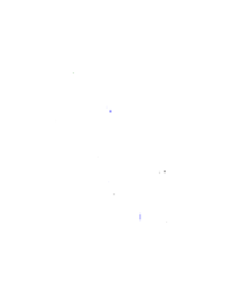 C/N=C(\SC)N(C)c1ccc(Cl)nc1